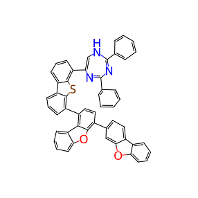 C1=C(c2cccc3c2sc2c(-c4ccc(-c5ccc6c(c5)oc5ccccc56)c5oc6ccccc6c45)cccc23)N=C(c2ccccc2)N=C(c2ccccc2)N1